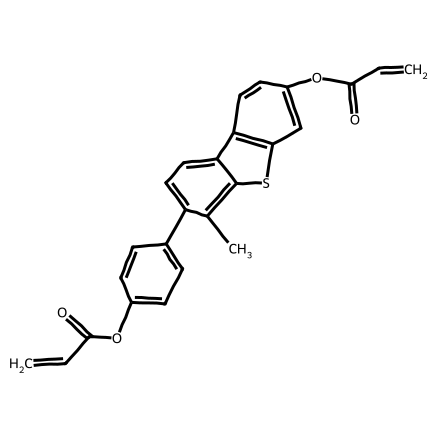 C=CC(=O)Oc1ccc(-c2ccc3c(sc4cc(OC(=O)C=C)ccc43)c2C)cc1